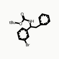 CC(C)(C)OC(=O)NC(Cc1ccccc1)c1cccc(Br)c1